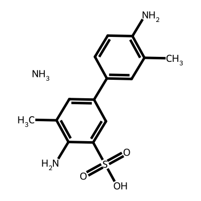 Cc1cc(-c2cc(C)c(N)c(S(=O)(=O)O)c2)ccc1N.N